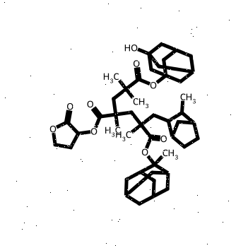 CC1C2CCC(C2)C1CC(C)(CC(C)(CC(C)(C)C(=O)OC12CC3CC(CC(O)(C3)C1)C2)C(=O)OC1CCOC1=O)C(=O)OC1(C)C2CC3CC(C2)CC1C3